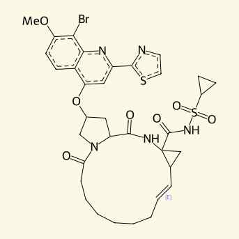 COc1ccc2c(OC3CC4C(=O)NC5(C(=O)NS(=O)(=O)C6CC6)CC5/C=C/CCCCCCC(=O)N4C3)cc(-c3nccs3)nc2c1Br